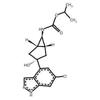 CC(C)OC(=O)N[C@H]1[C@@H]2C[C@@](O)(c3cc(Cl)cc4[nH]ncc34)C[C@@H]21